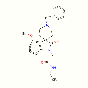 CCOc1cccc2c1C1(CCN(Cc3ccccc3)CC1)C(=O)N2CC(=O)NCC(F)(F)F